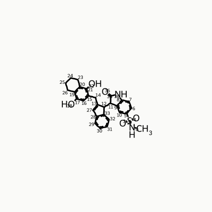 CNS(=O)(=O)c1ccc2c(c1)C(C1C(Cc3cc(O)c4c(c3O)CCCC4)=Cc3ccccc31)C(=O)N2